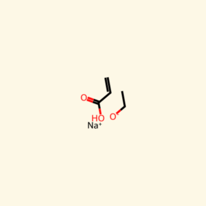 C=CC(=O)O.CC[O-].[Na+]